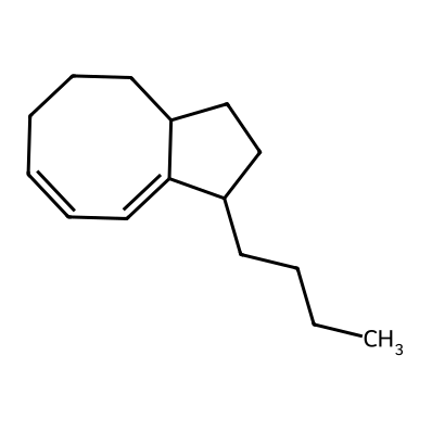 CCCCC1CCC2CCC/C=C\C=C\12